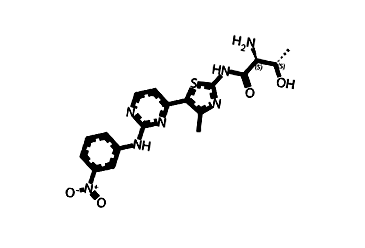 Cc1nc(NC(=O)[C@@H](N)[C@H](C)O)sc1-c1ccnc(Nc2cccc([N+](=O)[O-])c2)n1